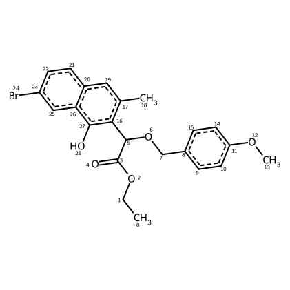 CCOC(=O)C(OCc1ccc(OC)cc1)c1c(C)cc2ccc(Br)cc2c1O